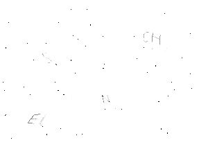 C[CH]c1nc(C)cs1